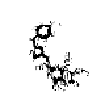 Cc1nc(NCc2cnn(Cc3ccc(C(F)(F)F)cc3)c2)nc2c1NC(=O)[C@H](C)N2C